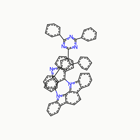 c1ccc(-c2cccc(-c3cccc(-n4c5ccccc5c5ccc6c7ccccc7n(-c7c8ccccc8nc8cc(-c9nc(-c%10ccccc%10)nc(-c%10ccccc%10)n9)ccc78)c6c54)c3)c2)cc1